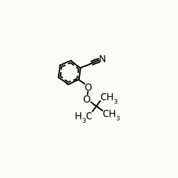 CC(C)(C)OOc1ccccc1C#N